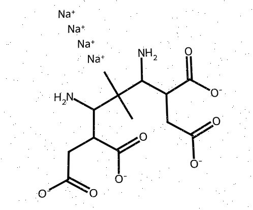 CC(C)(C(N)C(CC(=O)[O-])C(=O)[O-])C(N)C(CC(=O)[O-])C(=O)[O-].[Na+].[Na+].[Na+].[Na+]